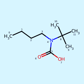 CCCCN(C(=O)O)C(C)(C)C